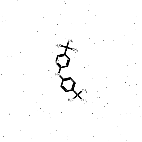 CC(C)(C)c1ccc(Nc2ccc(C(C)(C)C)cn2)cc1